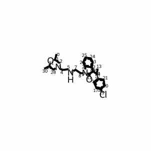 CC1CN(CCNCCN2C(=O)[C@@]3(C[C@H]3c3ccc(Cl)cc3)c3ccccc32)CC(C)O1